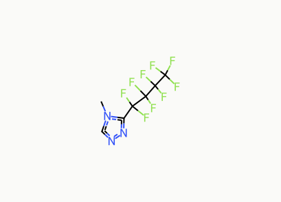 Cn1cnnc1C(F)(F)C(F)(F)C(F)(F)C(F)(F)F